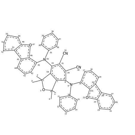 CC1(C)OC(C)(C)c2c(N(c3ccccc3)c3cccc4c3oc3ccccc34)c(C#N)c(C#N)c(N(c3ccccc3)c3cccc4c3oc3ccccc34)c21